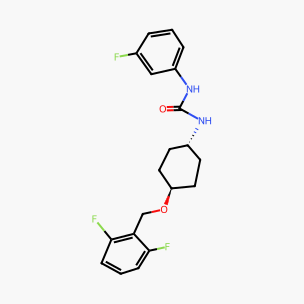 O=C(Nc1cccc(F)c1)N[C@H]1CC[C@H](OCc2c(F)cccc2F)CC1